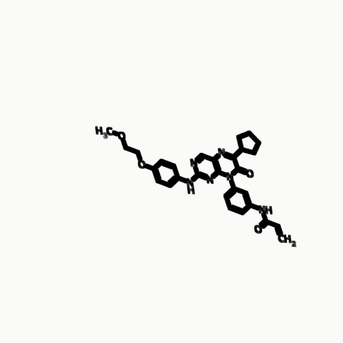 C=CC(=O)Nc1cccc(-n2c(=O)c(C3CCCC3)nc3cnc(Nc4ccc(OCCOC)cc4)nc32)c1